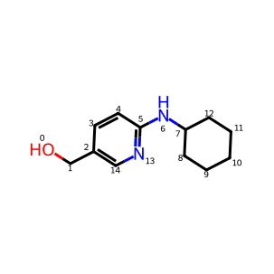 OCc1ccc(NC2CCCCC2)nc1